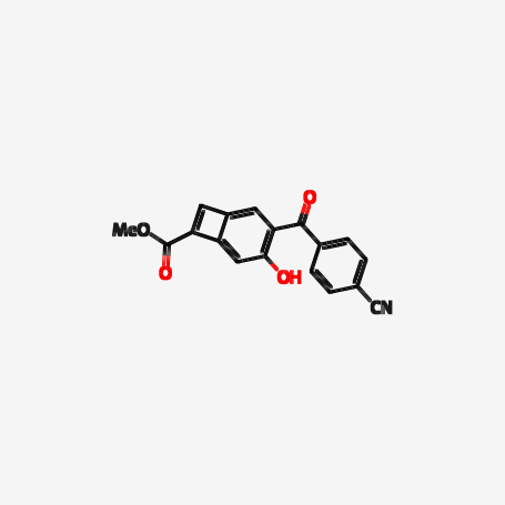 COC(=O)C1=Cc2cc(C(=O)c3ccc(C#N)cc3)c(O)cc21